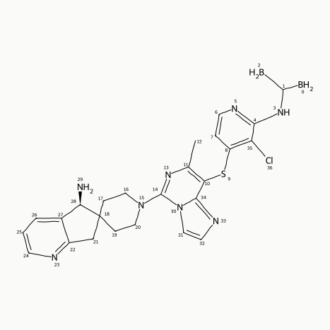 BC(B)Nc1nccc(Sc2c(C)nc(N3CCC4(CC3)Cc3ncccc3[C@H]4N)n3ccnc23)c1Cl